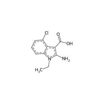 CCn1c(N)c(C(=O)O)c2c(Cl)cccc21